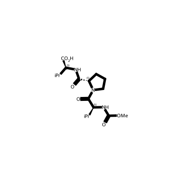 COC(=O)N[C@H](C(=O)N1CCC[C@H]1C(=O)N[C@H](C(=O)O)C(C)C)C(C)C